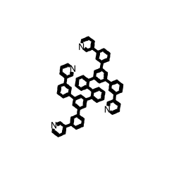 c1cncc(-c2cccc(-c3cc(-c4cccc(-c5cccnc5)c4)cc(-c4ccccc4-c4ccccc4-c4cc(-c5cccc(-c6cccnc6)c5)cc(-c5cccc(-c6cccnc6)c5)c4)c3)c2)c1